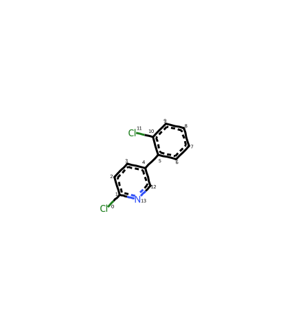 Clc1ccc(-c2ccccc2Cl)cn1